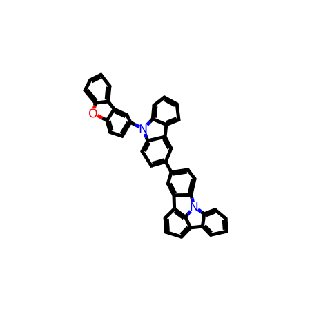 c1ccc2c(c1)oc1ccc(-n3c4ccccc4c4cc(-c5ccc6c(c5)c5cccc7c8ccccc8n6c75)ccc43)cc12